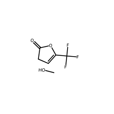 CO.O=C1CC=C(C(F)(F)F)O1